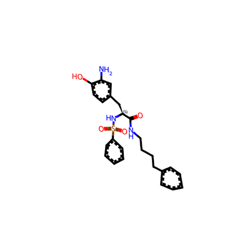 Nc1cc(C[C@H](NS(=O)(=O)c2ccccc2)C(=O)NCCCCc2ccccc2)ccc1O